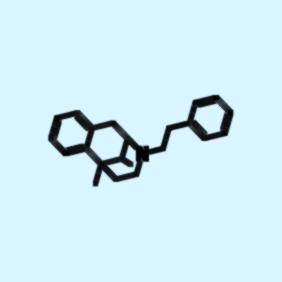 CC1C2Cc3ccccc3C1(C)CCN2CCc1ccccc1